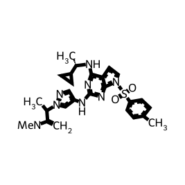 C=C(NC)C(C)n1cc(Nc2nc(N[C@@H](C)C3CC3)c3ccn(S(=O)(=O)c4ccc(C)cc4)c3n2)cn1